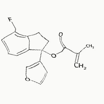 C=C(C)C(=O)OC1(c2ccoc2)CCc2c(F)cccc21